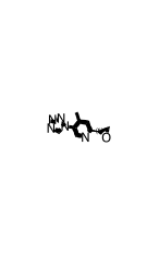 Cc1cc([C@H]2CO2)ncc1-n1cnnn1